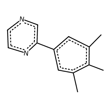 Cc1cc(-c2cnccn2)cc(C)c1C